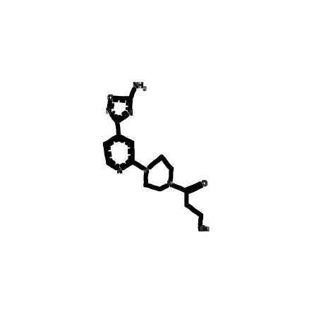 CC(C)(C)CCC(=O)N1CCN(c2cc(-c3noc(N)n3)ccn2)CC1